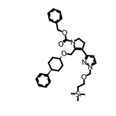 C[Si](C)(C)CCOCn1ccc(C2=C(CO[C@H]3CC[C@H](c4ccccc4)CC3)N(C(=O)OCc3ccccc3)CC2)n1